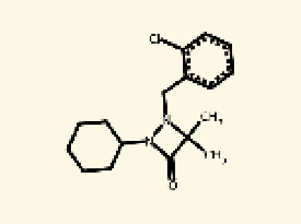 CC1(C)C(=O)N(C2CCCCC2)N1Cc1ccccc1Cl